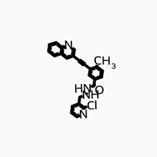 Cc1ccc(C(=O)NNCc2cccnc2Cl)cc1C#Cc1cnc2ccccc2c1